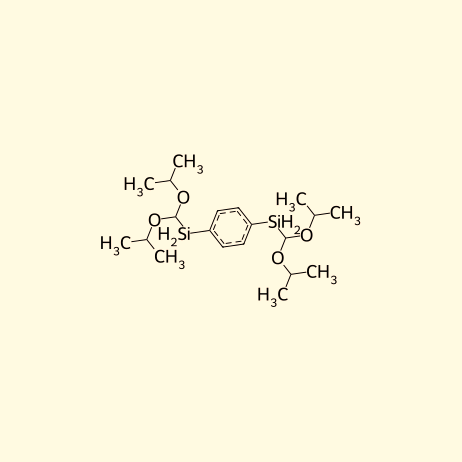 CC(C)OC(OC(C)C)[SiH2]c1ccc([SiH2]C(OC(C)C)OC(C)C)cc1